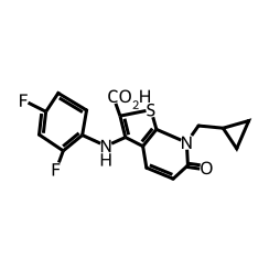 O=C(O)c1sc2c(ccc(=O)n2CC2CC2)c1Nc1ccc(F)cc1F